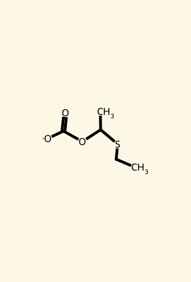 CCSC(C)OC([O])=O